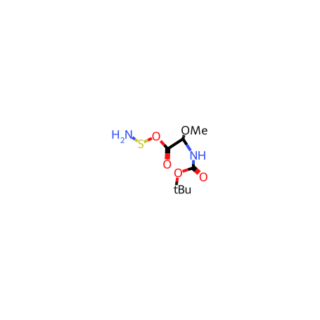 COC(NC(=O)OC(C)(C)C)C(=O)OSN